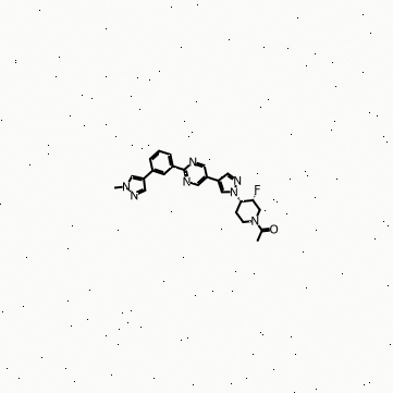 CC(=O)N1CC[C@H](n2cc(-c3cnc(-c4cccc(-c5cnn(C)c5)c4)nc3)cn2)[C@H](F)C1